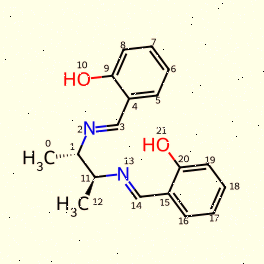 C[C@H](/N=C/c1ccccc1O)[C@H](C)/N=C/c1ccccc1O